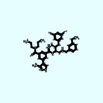 CCCN(CCC)C(=O)c1cc(C(=O)O[C@H](CNCc2cccc(CC)c2)[C@@H](N)Cc2cc(F)cc(F)c2)cc(-c2conc2C)c1